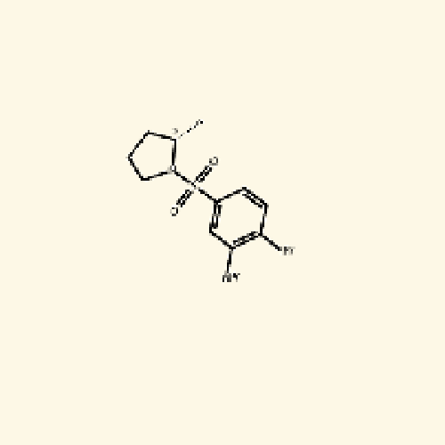 CCCc1cc(S(=O)(=O)N2CCC[C@@H]2C)ccc1C(C)C